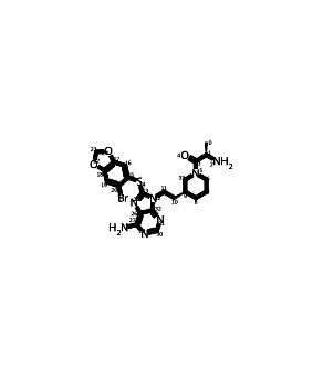 C[C@@H](N)C(=O)N1CCC[C@@H](CCn2c(Sc3cc4c(cc3Br)OCO4)nc3c(N)ncnc32)C1